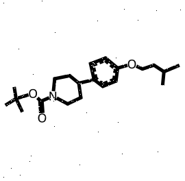 CC(C)CCOc1ccc(C2CCN(C(=O)OC(C)(C)C)CC2)cc1